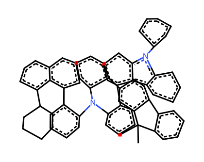 CC1(C)c2ccccc2-c2ccc(-c3ccccc3N(c3ccccc3-c3cccc4cccc(C5CCCCC5)c34)c3ccccc3-c3cccc4c3c3ccccc3n4-c3ccccc3)cc21